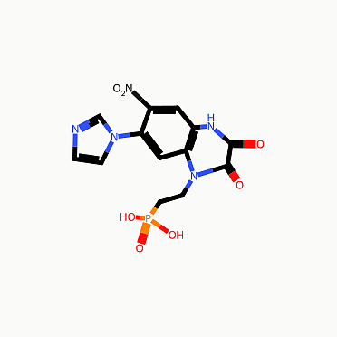 O=c1[nH]c2cc([N+](=O)[O-])c(-n3ccnc3)cc2n(CCP(=O)(O)O)c1=O